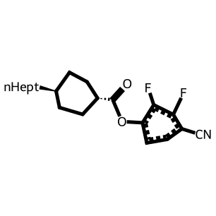 CCCCCCC[C@H]1CC[C@H](C(=O)Oc2ccc(C#N)c(F)c2F)CC1